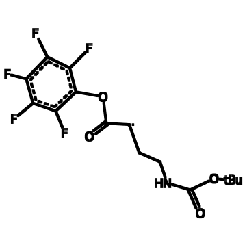 CC(C)(C)OC(=O)NCC[CH]C(=O)Oc1c(F)c(F)c(F)c(F)c1F